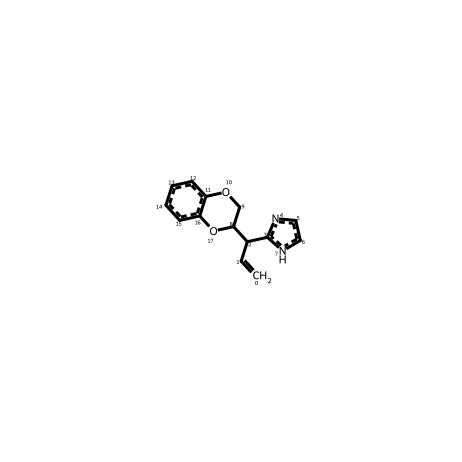 C=CC(c1ncc[nH]1)C1COc2ccccc2O1